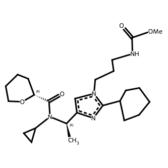 COC(=O)NCCCn1cc([C@@H](C)N(C(=O)[C@H]2CCCCO2)C2CC2)nc1C1CCCCC1